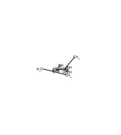 CCCCCCCCCCCC(=O)O[C@H](CCCCCCCCCCC)CC(=O)NC(CCO)C(=O)NCCCC(COP(=O)(O)O)NC(=O)C[C@H](O)CCCCCCCCCCC